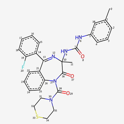 Cc1cccc(NC(=O)NC2(C)N=C(c3ccccc3F)c3ccccc3N(C(=O)N3CCSCC3)C2=O)c1